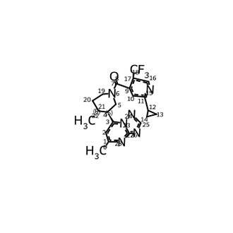 Cc1cc([C@@H]2CN(C(=O)c3cc(C4CC4)ncc3C(F)(F)F)CC[C@H]2C)n2ncnc2n1